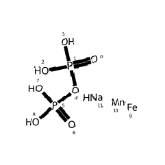 O=P(O)(O)OP(=O)(O)O.[Fe].[Mn].[NaH]